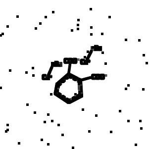 CCC[CH2][Cu+].CCC[CH2][Cu+].O=C([O-])c1ccccc1C(=O)[O-]